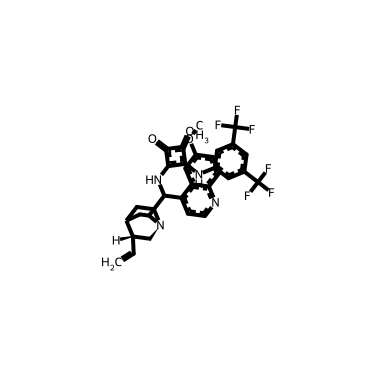 C=C[C@H]1C[N@]2CCC1CC2C(Nc1c(Nc2cc(C(F)(F)F)cc(C(F)(F)F)c2)c(=O)c1=O)c1ccnc2ccc(OC)cc12